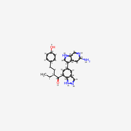 CC[C@@H](CCc1ccc(O)cc1)C(=O)c1cc(-c2c[nH]c3cnc(N)cc23)cc2cn[nH]c12